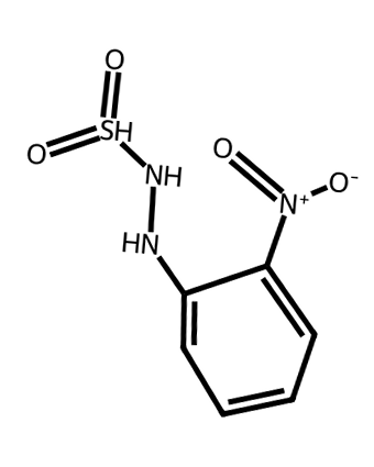 O=[N+]([O-])c1ccccc1NN[SH](=O)=O